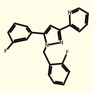 Fc1cccc(-c2cc(-c3ccccn3)nn2Cc2ccccc2F)c1